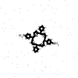 Nc1ccc(C2=C3C=CC(=N3)C(c3ccccc3)=C3C=CC(=N3)C(c3ccc(N)cc3)=C3C=CC(=N3)C(c3ccccc3)=C3C=CC2=N3)cc1